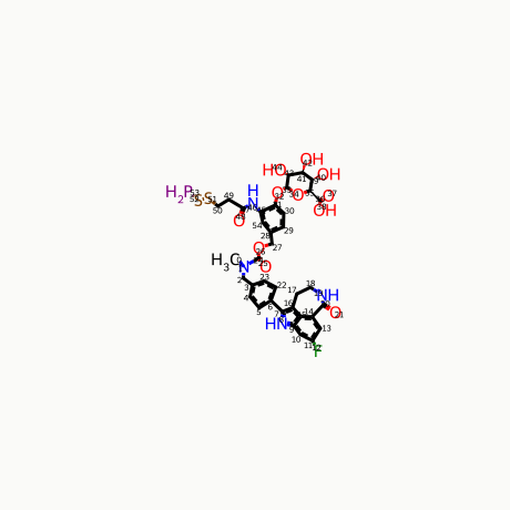 CN(Cc1ccc(-c2[nH]c3cc(F)cc4c3c2CCNC4=O)cc1)C(=O)OCc1ccc(O[C@@H]2O[C@H](C(=O)O)[C@@H](O)[C@H](O)[C@H]2O)c(NC(=O)CCSSP)c1